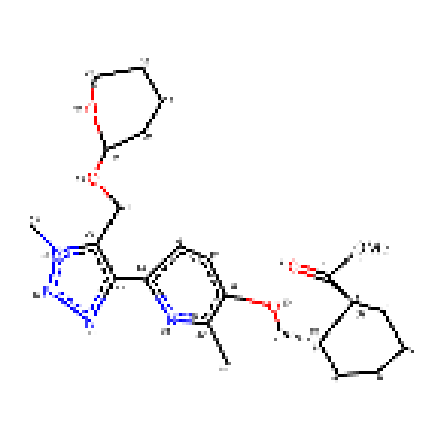 COC(=O)[C@H]1CCCC[C@@H]1COc1ccc(-c2nnn(C)c2COC2CCCCO2)nc1C